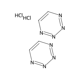 Cl.Cl.c1cnnnn1.c1cnnnn1